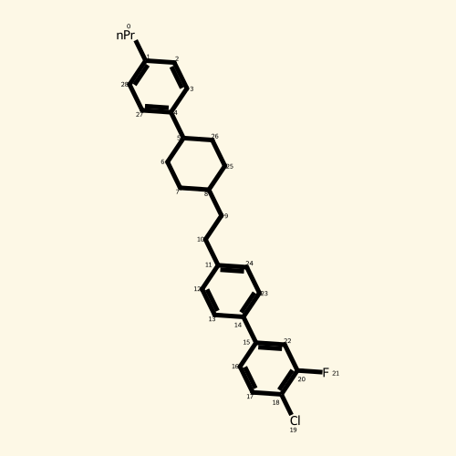 CCCc1ccc(C2CCC(CCc3ccc(-c4ccc(Cl)c(F)c4)cc3)CC2)cc1